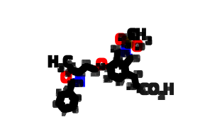 Cc1oc(-c2ccccc2)nc1CCOc1ccc(CCC(=O)O)c2c1CN(S(C)(=O)=O)C2